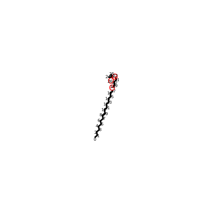 CCCCCCCCC=CCCCCCCCCOCC1COC(C)(C)O1